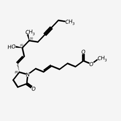 CCC#CC[C@H](C)[C@H](O)C=C[C@H]1CCC(=O)N1CC=CCCCC(=O)OC